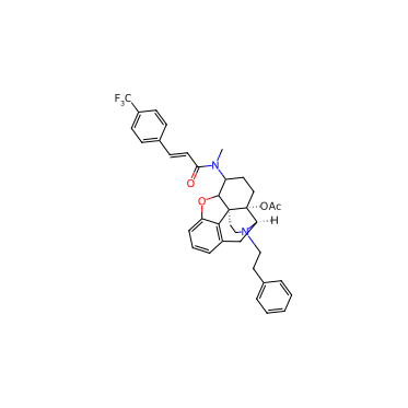 CC(=O)O[C@@]12CCC(N(C)C(=O)/C=C/c3ccc(C(F)(F)F)cc3)C3Oc4cccc5c4[C@@]31CCN(CCc1ccccc1)[C@@H]2C5